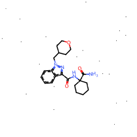 NC(=O)C1(NC(=O)c2nn(CC3CCOCC3)c3ccccc23)CCCCC1